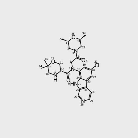 C[C@@H]1CN(C(=O)CN(C(=O)[C@@H]2COC(C)(C)CN2)c2cc(Cl)cc3c2[nH]c2cnccc23)C[C@H](C)O1